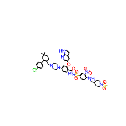 CC1(C)CCC(CN2CCN(c3ccc(C(=O)NS(=O)(=O)c4ccc(NCC5CCN(S(C)(=O)=O)CC5)c([N+](=O)[O-])c4)c(Oc4cnc5[nH]ccc5c4)c3)CC2)=C(c2ccc(Cl)cc2)C1